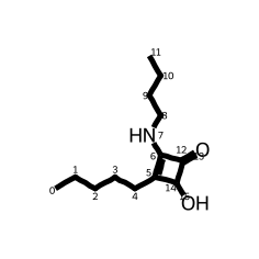 CCCCCC1=C(NCCCC)C(=O)C1O